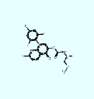 C[C@@H](COC(F)(F)F)NC(=O)Oc1cn(-c2c(F)cc(F)cc2F)c2nc(Cl)ccc2c1=O